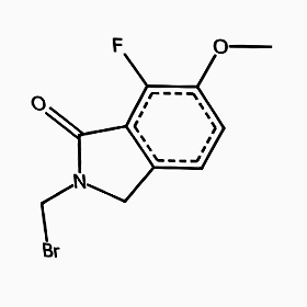 COc1ccc2c(c1F)C(=O)N(CBr)C2